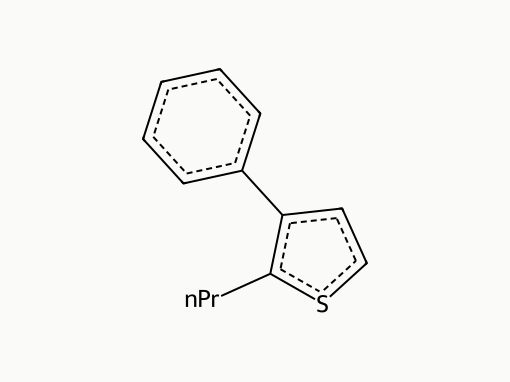 CCCc1sccc1-c1ccccc1